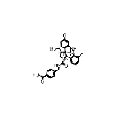 CC(C)(C)C[C@@H]1CN(C(=O)NCc2ccc(C(N)=O)cc2)[C@H](c2cccc(Cl)c2F)[C@]12C(=O)Nc1cc(Cl)ccc12